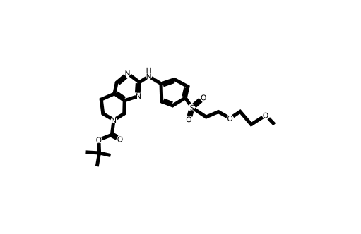 COCCOCCS(=O)(=O)c1ccc(Nc2ncc3c(n2)CN(C(=O)OC(C)(C)C)CC3)cc1